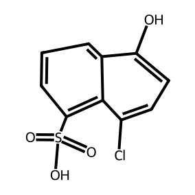 O=S(=O)(O)c1cccc2c(O)ccc(Cl)c12